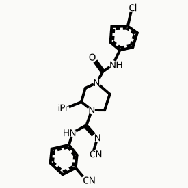 CC(C)C1CN(C(=O)Nc2ccc(Cl)cc2)CCN1/C(=N/C#N)Nc1cccc(C#N)c1